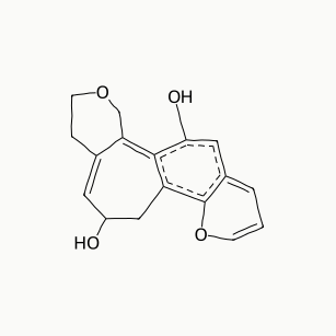 Oc1cc2c(c3c1=C1COCCC1=CC(O)C3)OC=CC=2